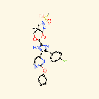 CC1(CNS(C)(=O)=O)COC(c2nc(-c3ccc(F)cc3)c(-c3ccnc(Oc4ccccc4)n3)[nH]2)OC1